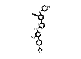 COc1cc(Nc2nccc(-c3ccc(OC4CCNCC4)c(C#N)c3)n2)ncc1N1CCN(C2COC2)CC1